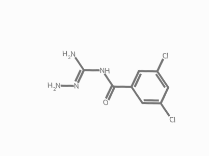 NN=C(N)NC(=O)c1cc(Cl)cc(Cl)c1